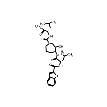 COC(=O)[C@H](CC(C)C)NC(=O)N1CCCC(NC(=O)[C@H](CC(C)C)NC(=O)c2cc3ccccc3o2)C(O)C1